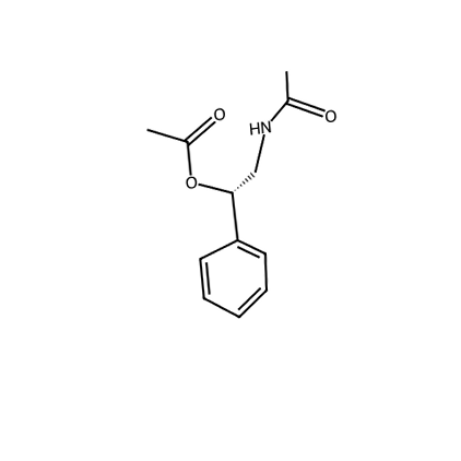 CC(=O)NC[C@@H](OC(C)=O)c1ccccc1